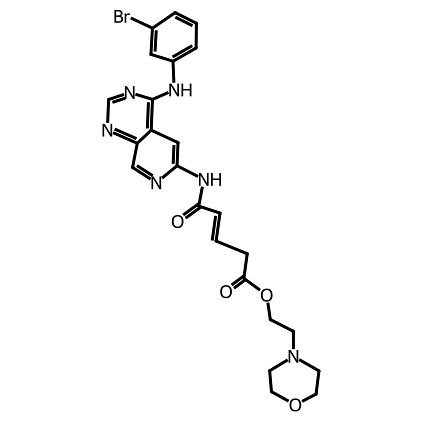 O=C(C=CCC(=O)OCCN1CCOCC1)Nc1cc2c(Nc3cccc(Br)c3)ncnc2cn1